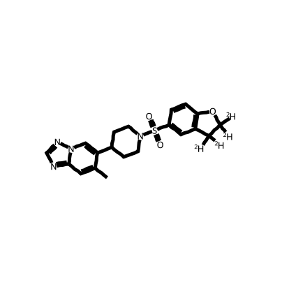 [2H]C1([2H])Oc2ccc(S(=O)(=O)N3CCC(c4cn5ncnc5cc4C)CC3)cc2C1([2H])[2H]